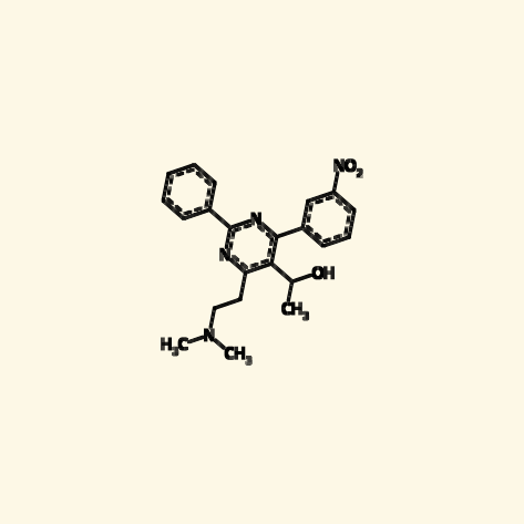 CC(O)c1c(CCN(C)C)nc(-c2ccccc2)nc1-c1cccc([N+](=O)[O-])c1